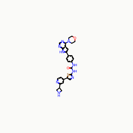 O=C(Nc1ccc(-c2cc3c(N4CCOCC4)ncnc3[nH]2)cc1)Nc1ncc(-c2ccnc(C3CNC3)c2)s1